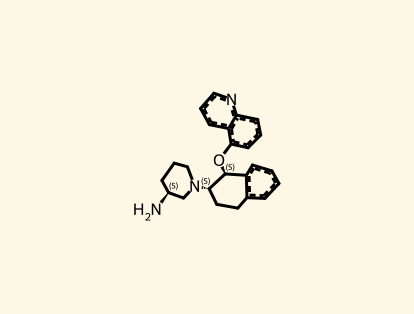 N[C@H]1CCCN([C@H]2CCc3ccccc3[C@@H]2Oc2cccc3ncccc23)C1